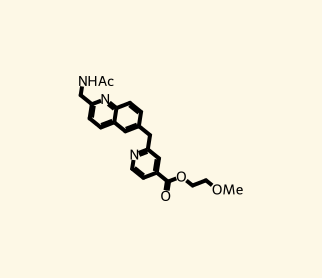 COCCOC(=O)c1ccnc(Cc2ccc3nc(CNC(C)=O)ccc3c2)c1